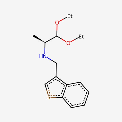 CCOC(OCC)[C@H](C)NCc1csc2ccccc12